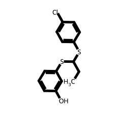 CCC(Sc1ccc(Cl)cc1)Sc1cccc(O)c1